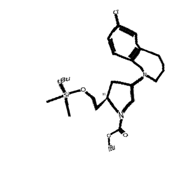 CC(C)(C)OC(=O)N1CC(N2CCCc3cc(Cl)ccc32)C[C@@H]1CO[Si](C)(C)C(C)(C)C